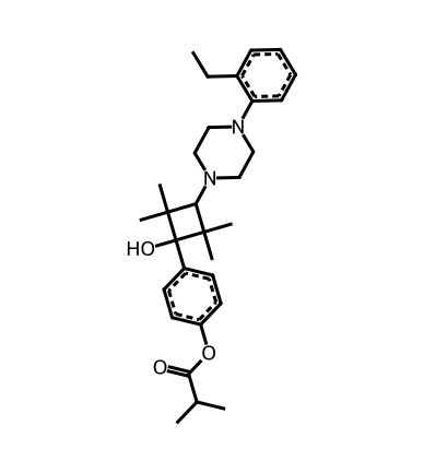 CCc1ccccc1N1CCN(C2C(C)(C)C(O)(c3ccc(OC(=O)C(C)C)cc3)C2(C)C)CC1